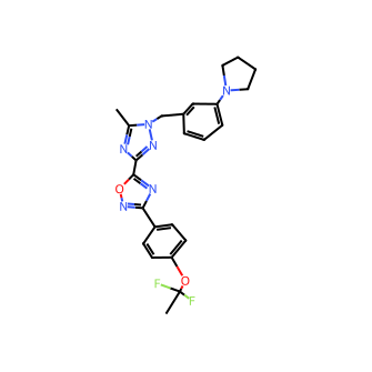 Cc1nc(-c2nc(-c3ccc(OC(C)(F)F)cc3)no2)nn1Cc1cccc(N2CCCC2)c1